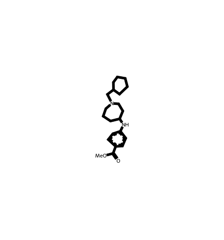 COC(=O)c1ccc(NC2CCCN(CC3CCCCC3)CC2)cc1